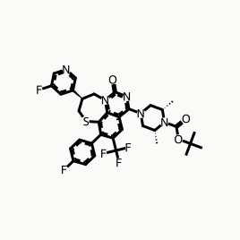 C[C@@H]1CN(c2nc(=O)n3c4c(c(-c5ccc(F)cc5)c(C(F)(F)F)cc24)SC[C@@H](c2cncc(F)c2)C3)C[C@H](C)N1C(=O)OC(C)(C)C